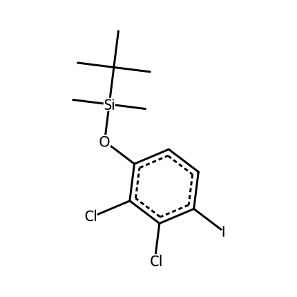 CC(C)(C)[Si](C)(C)Oc1ccc(I)c(Cl)c1Cl